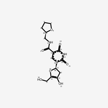 O=C(NC[C@H]1CCCO1)c1cn([C@H]2CC(O)=C(CO)O2)c(=O)[nH]c1=O